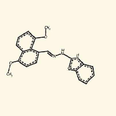 COc1ccc(/C=N/Nc2nc3ccccc3[nH]2)c2c(OC)cccc12